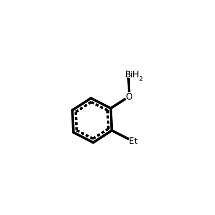 CCc1ccccc1[O][BiH2]